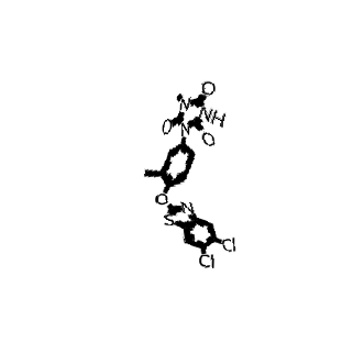 Cc1cc(-n2c(=O)[nH]c(=O)n(C)c2=O)ccc1Oc1nc2cc(Cl)c(Cl)cc2s1